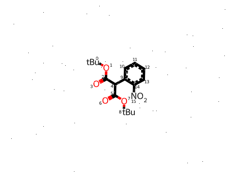 CC(C)(C)OC(=O)C(C(=O)OC(C)(C)C)c1ccccc1[N+](=O)[O-]